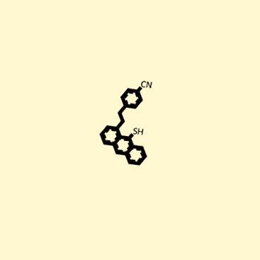 N#Cc1ccc(CCc2cccc3cc4ccccc4c(S)c23)cc1